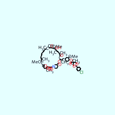 CO[C@H]1C[C@@H]2CC[C@@H](C)[C@@](O)(O2)C(=O)C(=O)N2CCCC(C2)C(=O)O[C@H]([C@H](C)C[C@@H]2CC[C@@H](OC(=O)C3(C)COC(c4ccc(Cl)cc4)OC3)[C@H](OC)C2)CC(=O)[C@H](C)/C=C(\C)[C@@H](O)[C@@H](OC)C(=O)[C@H](C)C[C@H](C)/C=C/C=C/C=C/1C